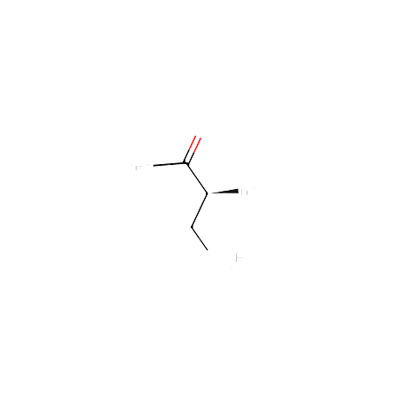 CCCC(=O)[C@@H](CCC)CC(=O)O